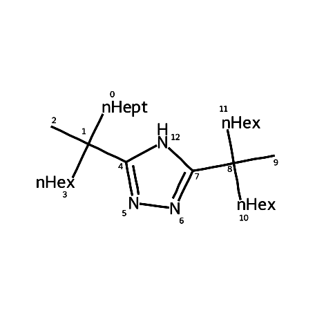 CCCCCCCC(C)(CCCCCC)c1nnc(C(C)(CCCCCC)CCCCCC)[nH]1